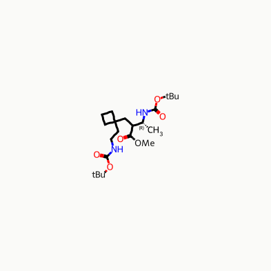 COC(=O)C(CC1(CCNC(=O)OC(C)(C)C)CCC1)[C@@H](C)NC(=O)OC(C)(C)C